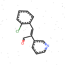 O=[C]C(=Cc1ccccc1Cl)c1cccnc1